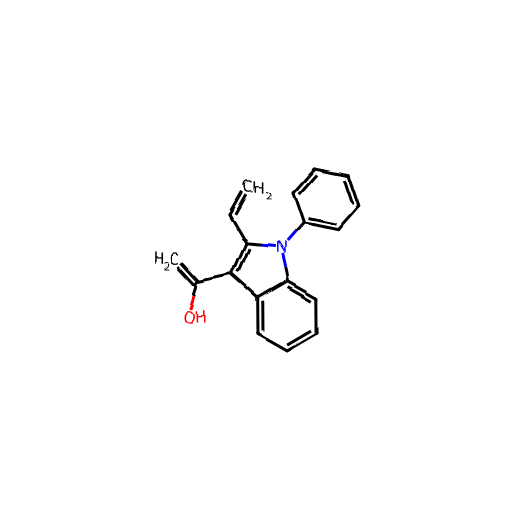 C=Cc1c(C(=C)O)c2ccccc2n1-c1ccccc1